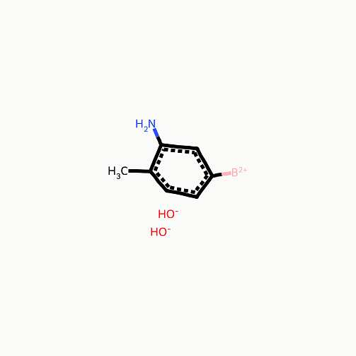 [B+2]c1ccc(C)c(N)c1.[OH-].[OH-]